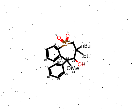 CCCCC1(CC)CS(=O)(=O)c2ccccc2C(OC)(c2ccccc2)C1O